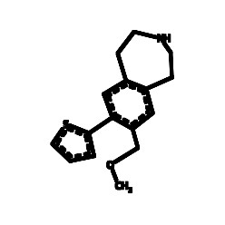 COCc1cc2c(cc1-c1cccs1)CCNCC2